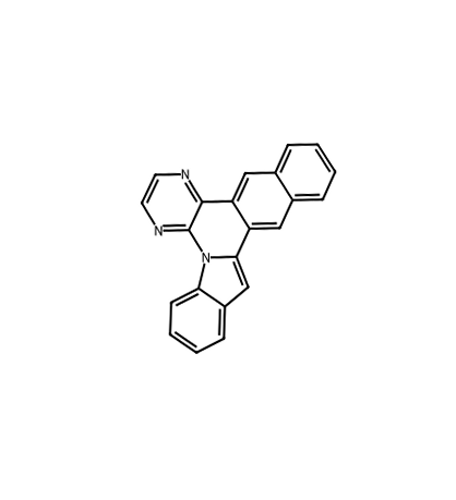 c1ccc2cc3c(cc2c1)c1nccnc1n1c2ccccc2cc31